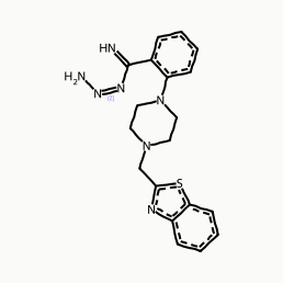 N=C(/N=N\N)c1ccccc1N1CCN(Cc2nc3ccccc3s2)CC1